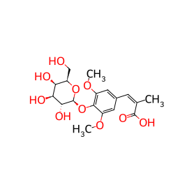 COc1cc(C=C(C)C(=O)O)cc(OC)c1O[C@@H]1O[C@H](CO)[C@H](O)[C@H](O)[C@H]1O